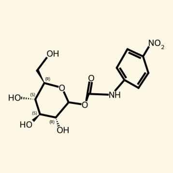 O=C(Nc1ccc([N+](=O)[O-])cc1)OC1O[C@H](CO)[C@@H](O)[C@H](O)[C@H]1O